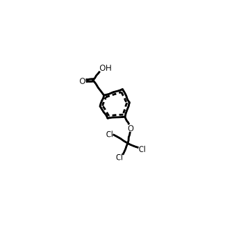 O=C(O)c1ccc(OC(Cl)(Cl)Cl)cc1